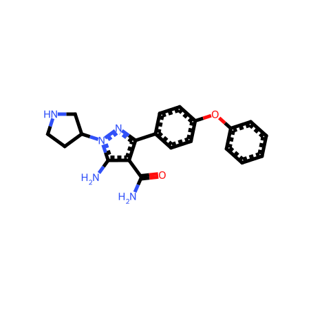 NC(=O)c1c(-c2ccc(Oc3ccccc3)cc2)nn(C2CCNC2)c1N